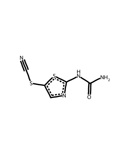 N#CSc1cnc(NC(N)=O)s1